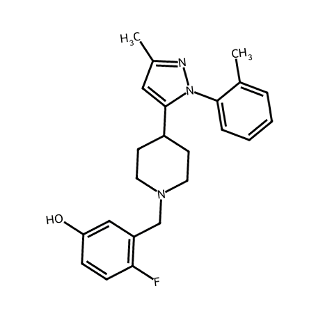 Cc1cc(C2CCN(Cc3cc(O)ccc3F)CC2)n(-c2ccccc2C)n1